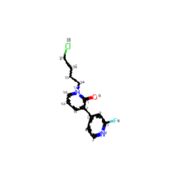 O=c1c(-c2ccnc(F)c2)cccn1CCCCCl